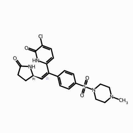 CN1CCN(S(=O)(=O)c2ccc(/C(=C/[C@H]3CCC(=O)N3)c3ccc(Cl)c(=O)[nH]3)cc2)CC1